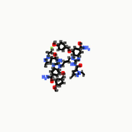 CCn1nc(C)cc1C(=O)Nc1nc2cc(C(N)=O)cc(OCc3ccc(OC)cc3)c2n1C/C=C/Cn1c(NC(=O)c2cc(C)nn2CCF)nc2cc(C(N)=O)cc(OCc3ccc(OC)cc3)c21